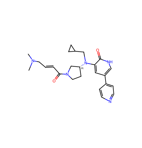 CN(C)CC=CC(=O)N1CC[C@@H](N(CC2CC2)c2cc(-c3ccncc3)c[nH]c2=O)C1